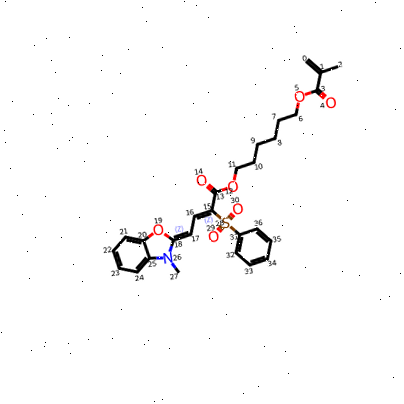 C=C(C)C(=O)OCCCCCCOC(=O)/C(=C/C=C1\Oc2ccccc2N1C)S(=O)(=O)c1ccccc1